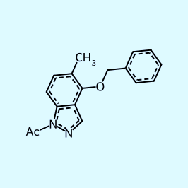 CC(=O)n1ncc2c(OCc3ccccc3)c(C)ccc21